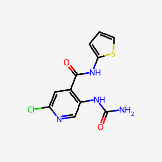 NC(=O)Nc1cnc(Cl)cc1C(=O)Nc1cccs1